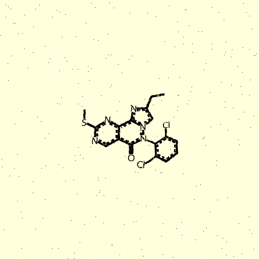 CCc1cn2c(n1)c1nc(SC)ncc1c(=O)n2-c1c(Cl)cccc1Cl